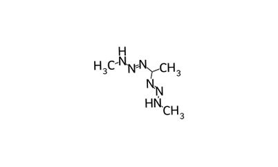 CNN=NC(C)N=NNC